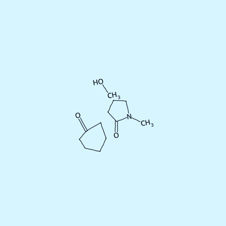 CN1CCCC1=O.CO.O=C1CCCCC1